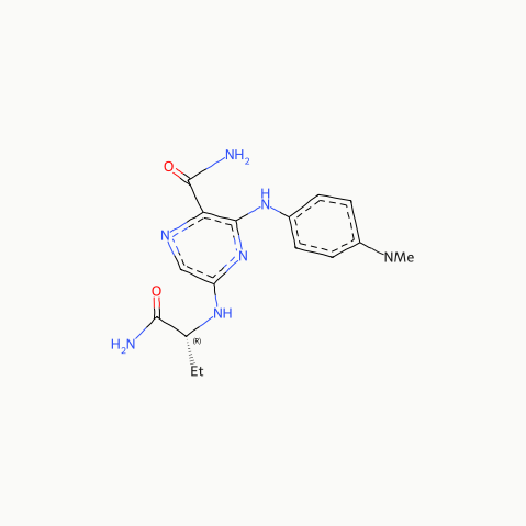 CC[C@@H](Nc1cnc(C(N)=O)c(Nc2ccc(NC)cc2)n1)C(N)=O